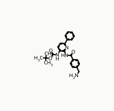 CC(C)(C)OC(=O)Nc1ccc(-c2ccccc2)nc1NC(=O)c1ccc(CN)cc1